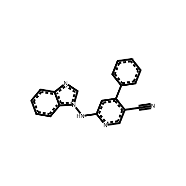 N#Cc1cnc(Nn2cnc3ccccc32)cc1-c1cc[c]cc1